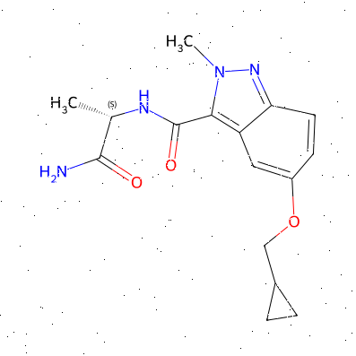 C[C@H](NC(=O)c1c2cc(OCC3CC3)ccc2nn1C)C(N)=O